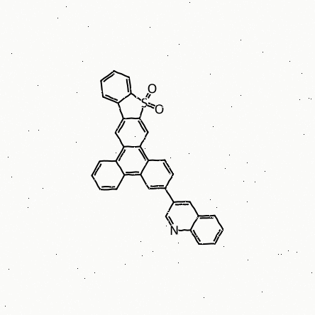 O=S1(=O)c2ccccc2-c2cc3c4ccccc4c4cc(-c5cnc6ccccc6c5)ccc4c3cc21